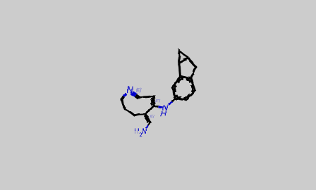 N/C=C1CCC/N=C/C=C\1Nc1ccc2c(c1)C1CC1C2